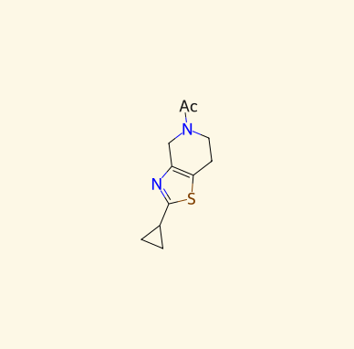 CC(=O)N1CCc2sc(C3CC3)nc2C1